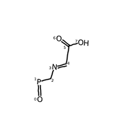 O=PCN=CC(=O)O